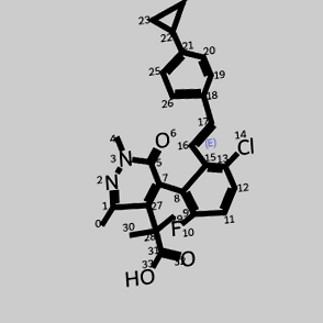 Cc1nn(C)c(=O)c(-c2c(F)ccc(Cl)c2/C=C/c2ccc(C3CC3)cc2)c1C(C)(C)C(=O)O